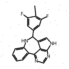 Cc1c(F)cc(C2Nc3ccccc3-c3ncnc4[nH]cc2c34)cc1F